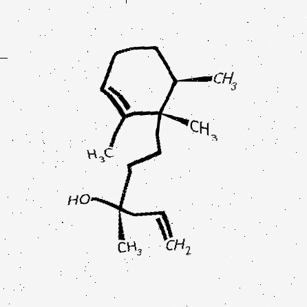 C=C[C@](C)(O)CC[C@]1(C)C(C)=CCC[C@H]1C